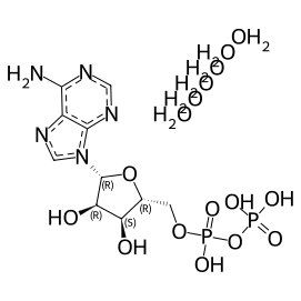 Nc1ncnc2c1ncn2[C@@H]1O[C@H](COP(=O)(O)OP(=O)(O)O)[C@@H](O)[C@H]1O.O.O.O.O.O.O